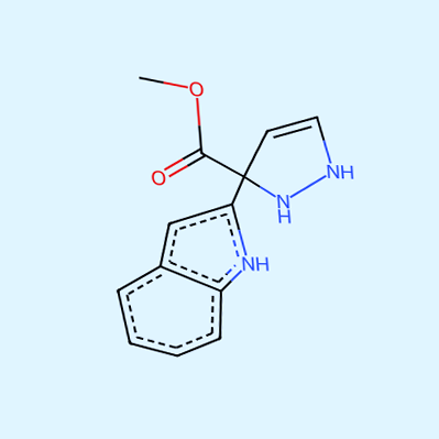 COC(=O)C1(c2cc3ccccc3[nH]2)C=CNN1